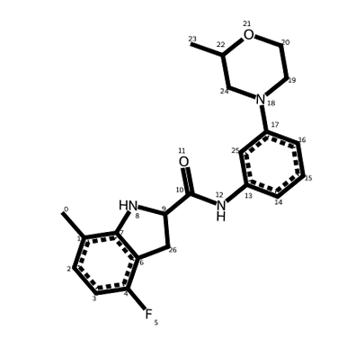 Cc1ccc(F)c2c1NC(C(=O)Nc1cccc(N3CCOC(C)C3)c1)C2